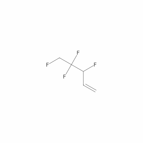 C=CC(F)C(F)(F)CF